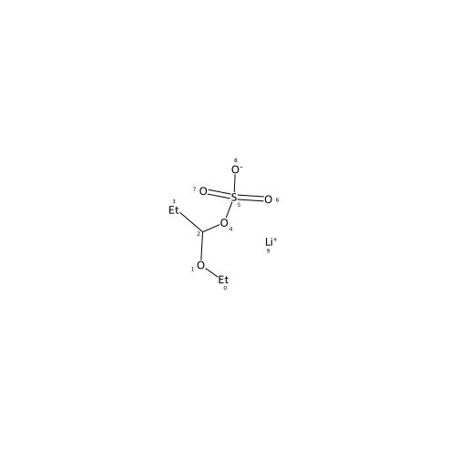 CCOC(CC)OS(=O)(=O)[O-].[Li+]